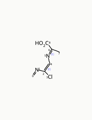 C=N/C(Cl)=C\N=C(/C)C(=O)O